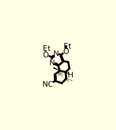 CCOc1nc(OCC)c2c(n1)[C@@]1(C)C=C(C#N)C[C@@H](C)[C@@H]1CC2